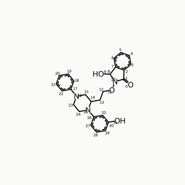 O=C1c2ccccc2C(O)N1OCCC1CN(c2ccccc2)CCN1c1cccc(O)c1